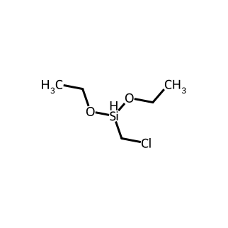 CCO[SiH](CCl)OCC